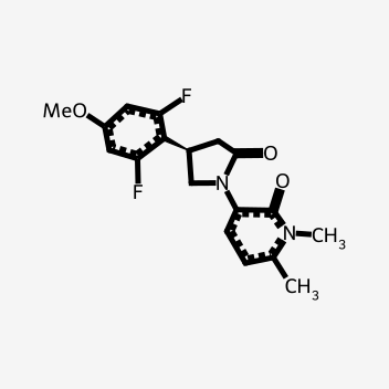 COc1cc(F)c([C@H]2CC(=O)N(c3ccc(C)n(C)c3=O)C2)c(F)c1